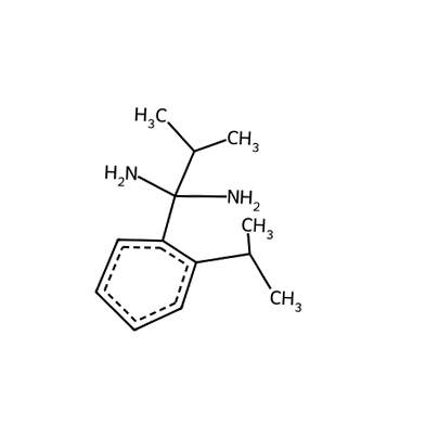 CC(C)c1ccccc1C(N)(N)C(C)C